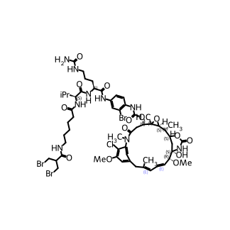 COc1cc2cc(c1Cl)N(C)C(=O)C[C@H](OC(=O)Nc1ccc(NC(=O)[C@H](CCCNC(N)=O)NC(=O)[C@@H](NC(=O)CCCCCNC(=O)C(CBr)CBr)C(C)C)cc1Br)[C@]1(C)O[C@H]1[C@H](C)[C@@H]1C[C@@](O)(NC(=O)O1)[C@H](OC)/C=C/C=C(\C)C2